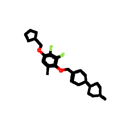 Cc1cc(OCC2CCCC2)c(F)c(F)c1OCC1=CCC(C2CCC(C)CC2)CC1